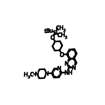 CN1CCN(c2ccc(Nc3ncc4cccc(OC5CCC(O[Si](C)(C)C(C)(C)C)CC5)c4n3)nc2)CC1